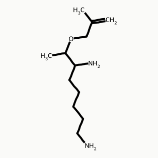 C=C(C)COC(C)C(N)CCCCCN